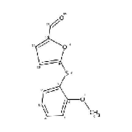 COc1ccccc1Sc1ccc(C=O)o1